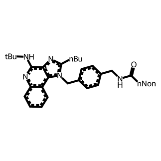 CCCCCCCCCC(=O)NCc1ccc(Cn2c(CCCC)nc3c(NC(C)(C)C)nc4ccccc4c32)cc1